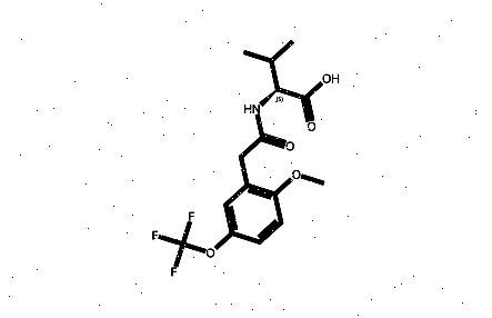 COc1ccc(OC(F)(F)F)cc1CC(=O)N[C@H](C(=O)O)C(C)C